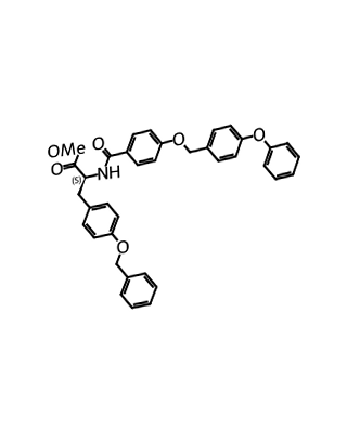 COC(=O)[C@H](Cc1ccc(OCc2ccccc2)cc1)NC(=O)c1ccc(OCc2ccc(Oc3ccccc3)cc2)cc1